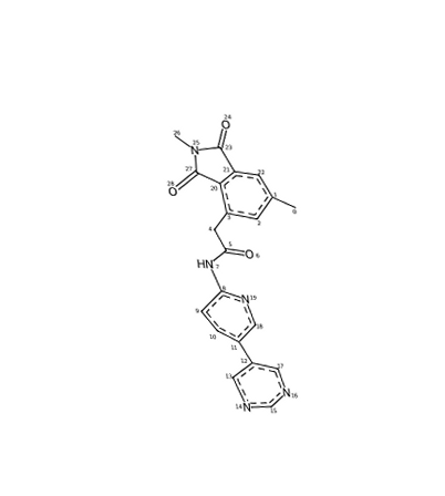 Cc1cc(CC(=O)Nc2ccc(-c3cncnc3)cn2)c2c(c1)C(=O)N(C)C2=O